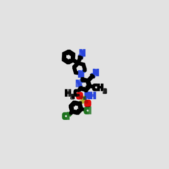 Cc1nc(N2CCC(C#N)(c3ccccc3)CC2)c(C#N)c(C)c1NS(=O)(=O)c1ccc(Cl)cc1Cl